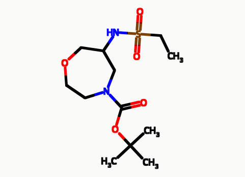 CCS(=O)(=O)NC1COCCN(C(=O)OC(C)(C)C)C1